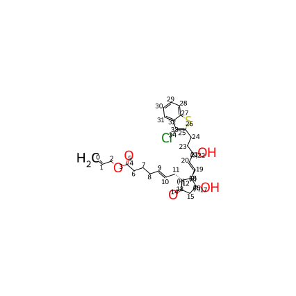 C=CCOC(=O)CCCC=CC[C@H]1C(=O)C[C@@H](O)[C@@H]1C=C[C@@H](O)CCc1sc2ccccc2c1Cl